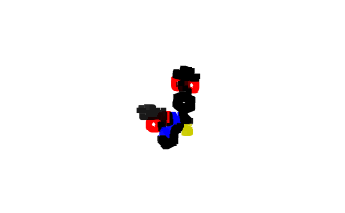 CC(C)(C)OC(=O)N1CCCC1c1nc(-c2ccc(B3OC(C)(C)C(C)(C)O3)cc2)cs1